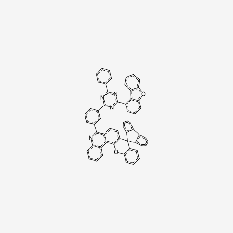 c1ccc(-c2nc(-c3cccc(-c4nc5ccccc5c5c6c(ccc45)C4(c5ccccc5O6)c5ccccc5-c5ccccc54)c3)nc(-c3cccc4oc5ccccc5c34)n2)cc1